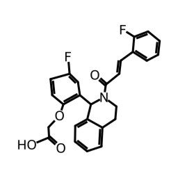 O=C(O)COc1ccc(F)cc1C1c2ccccc2CCN1C(=O)C=Cc1ccccc1F